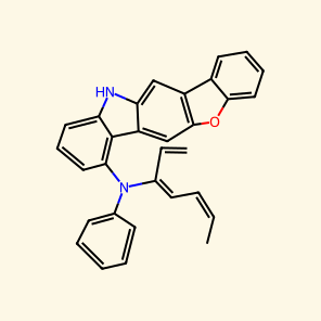 C=C/C(=C\C=C/C)N(c1ccccc1)c1cccc2[nH]c3cc4c(cc3c12)oc1ccccc14